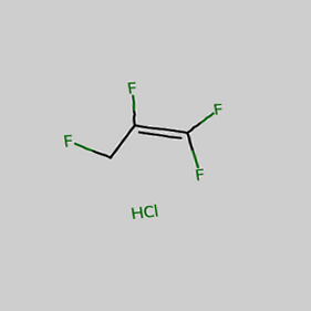 Cl.FCC(F)=C(F)F